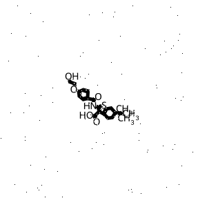 CC(C)(C)C1CCc2c(sc(NC(=O)c3ccc(OCCO)cc3)c2C(=O)O)C1